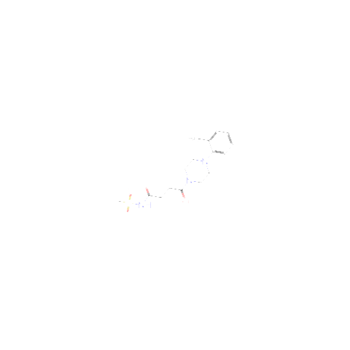 CC(C)(C)c1ccccc1N1CCN(C(=O)CCC(=O)NS(C)(=O)=O)CC1